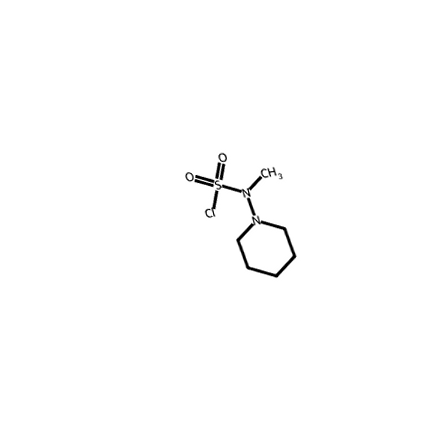 CN(N1CCCCC1)S(=O)(=O)Cl